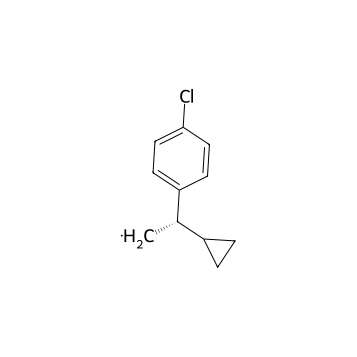 [CH2][C@H](c1ccc(Cl)cc1)C1CC1